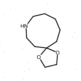 C1CCNCCC2(CC1)OCCO2